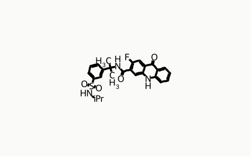 CC(C)NS(=O)(=O)c1cccc(C(C)(C)NC(=O)c2cc3[nH]c4ccccc4c(=O)c3cc2F)c1